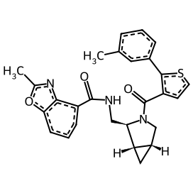 Cc1cccc(-c2sccc2C(=O)N2C[C@@H]3C[C@@H]3[C@H]2CNC(=O)c2cccc3oc(C)nc23)c1